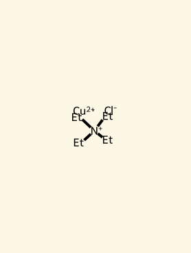 CC[N+](CC)(CC)CC.[Cl-].[Cu+2]